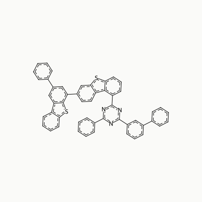 c1ccc(-c2cccc(-c3nc(-c4ccccc4)nc(-c4cccc5sc6cc(-c7cc(-c8ccccc8)cc8c7sc7ccccc78)ccc6c45)n3)c2)cc1